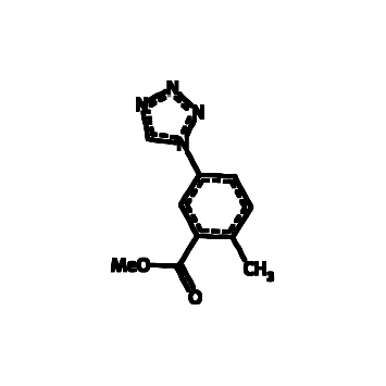 COC(=O)c1cc(-n2cnnn2)ccc1C